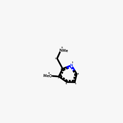 CNCc1ncccc1OC